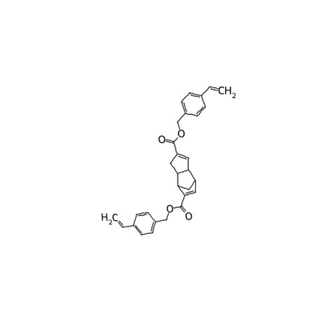 C=Cc1ccc(COC(=O)C2=CC3C4C=C(C(=O)OCc5ccc(C=C)cc5)C(C4)C3C2)cc1